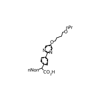 CCCCCCCCCC(C(=O)O)c1ccc(-c2ncc(OCCCCOCCC)cn2)cc1